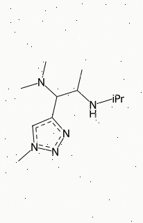 CC(C)NC(C)C(c1cn(C)nn1)N(C)C